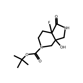 CC(C)(C)OC(=O)N1CCC2(F)C(=O)NCC2(O)C1